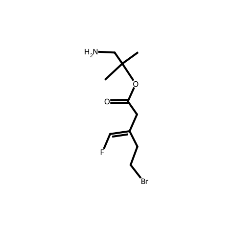 CC(C)(CN)OC(=O)CC(=CF)CCBr